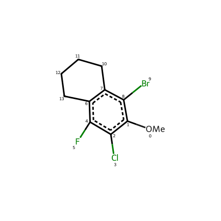 COc1c(Cl)c(F)c2c(c1Br)CCCC2